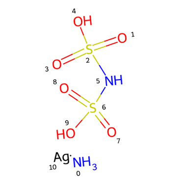 N.O=S(=O)(O)NS(=O)(=O)O.[Ag]